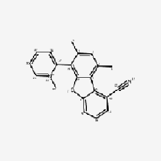 Cc1cc(C)c2c(oc3cccc(C#N)c32)c1-c1cccc[n+]1C